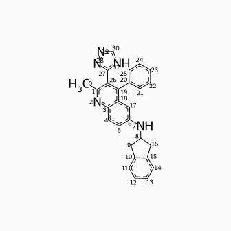 Cc1nc2ccc(NC3Cc4ccccc4C3)cc2c(-c2ccccc2)c1-c1nnc[nH]1